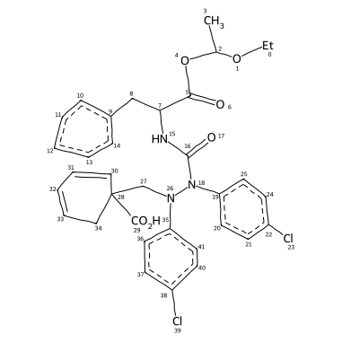 CCOC(C)OC(=O)C(Cc1ccccc1)NC(=O)N(c1ccc(Cl)cc1)N(CC1(C(=O)O)C=CC=CC1)c1ccc(Cl)cc1